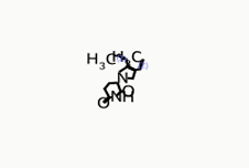 C/C=C\C1=C(/C=C\C)CN(C2CCC(=O)NC2=O)C1